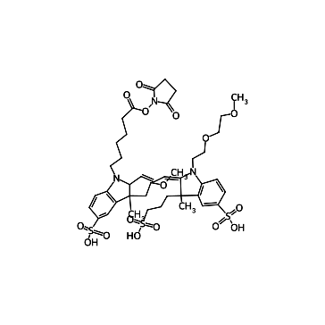 COCCOCCN1/C(=C/C=C/C2N(CCCCCC(=O)ON3C(=O)CCC3=O)c3ccc(S(=O)(=O)O)cc3C2(C)CCOC)C(C)(CCCS(=O)(=O)O)c2cc(S(=O)(=O)O)ccc21